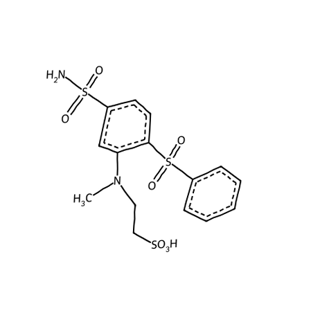 CN(CCS(=O)(=O)O)c1cc(S(N)(=O)=O)ccc1S(=O)(=O)c1ccccc1